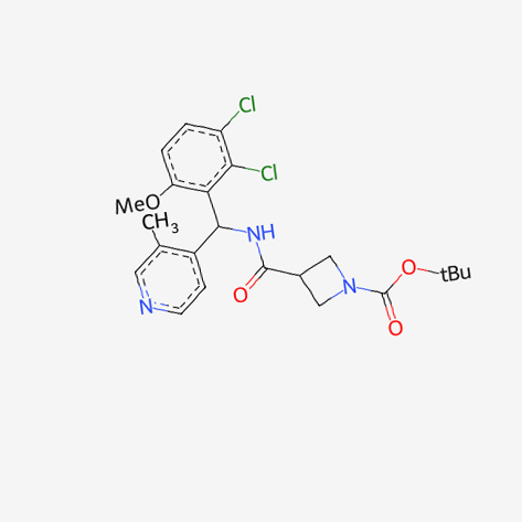 COc1ccc(Cl)c(Cl)c1C(NC(=O)C1CN(C(=O)OC(C)(C)C)C1)c1ccncc1C